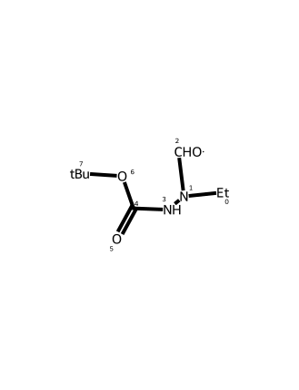 CCN([C]=O)NC(=O)OC(C)(C)C